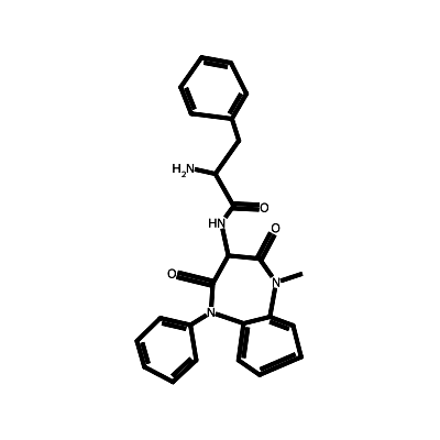 CN1C(=O)C(NC(=O)C(N)Cc2ccccc2)C(=O)N(c2ccccc2)c2ccccc21